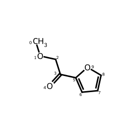 COCC(=O)c1ccco1